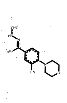 CCC/C(=N\NC=O)c1ccc(N2CCOCC2)c(C#N)c1